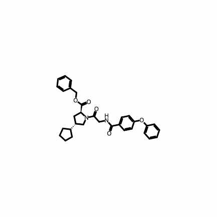 O=C(NCC(=O)N1C[C@H](C2CCCC2)C[C@H]1C(=O)OCc1ccccc1)c1ccc(Oc2ccccc2)cc1